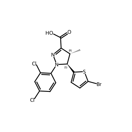 C[C@H]1C(C(=O)O)=NN(c2ccc(Cl)cc2Cl)[C@@H]1c1ccc(Br)s1